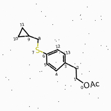 CC(=O)OCCc1ccc(SCC2CC2)cc1